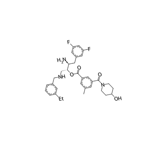 CCc1cccc(CNC[C@@H](OC(=O)c2cc(C)cc(C(=O)N3CCC(O)CC3)c2)[C@@H](N)Cc2cc(F)cc(F)c2)c1